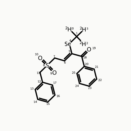 [2H]C([2H])([2H])[Se]C(=CCS(=O)(=O)Cc1ccccc1)C(=O)c1ccccc1